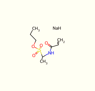 C=CC(=O)NC(C)S(=O)(=O)OCCC.[NaH]